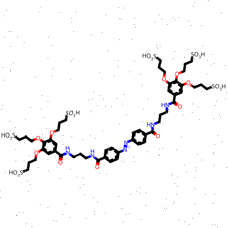 O=C(NCCCNC(=O)c1cc(OCCCS(=O)(=O)O)c(OCCCS(=O)(=O)O)c(OCCCS(=O)(=O)O)c1)c1ccc(/N=N/c2ccc(C(=O)NCCCNC(=O)c3cc(OCCCS(=O)(=O)O)c(OCCCS(=O)(=O)O)c(OCCCS(=O)(=O)O)c3)cc2)cc1